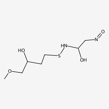 COCC(O)CCSNC(O)CN=O